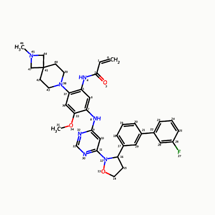 C=CC(=O)Nc1cc(Nc2cc(N3OCCC3c3cccc(-c4cccc(F)c4)c3)ncn2)c(OC)cc1N1CCC2(CC1)CN(C)C2